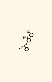 CCCCC(COc1ccc(C2CCCC(O)C2)c(O)c1)c1ccccc1